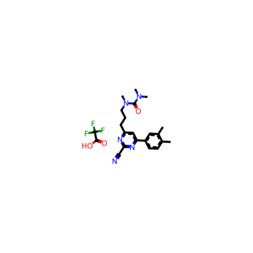 Cc1ccc(-c2cc(CCCN(C)C(=O)N(C)C)nc(C#N)n2)cc1C.O=C(O)C(F)(F)F